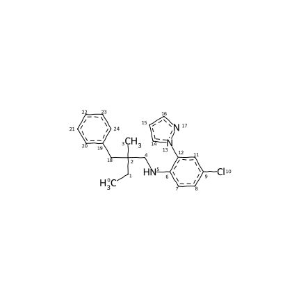 CCC(C)(CNc1ccc(Cl)cc1-n1cccn1)Cc1ccccc1